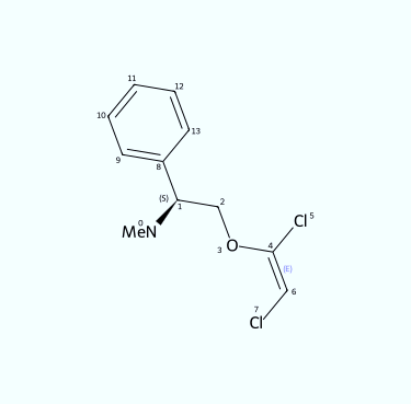 CN[C@H](CO/C(Cl)=C\Cl)c1ccccc1